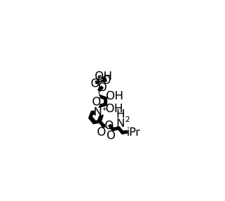 CC(C)C[C@H](N)C(=O)OC(=O)c1ccc[n+]([C@@H]2O[C@H](COP(=O)([O-])O)[C@@H](O)[C@H]2O)c1